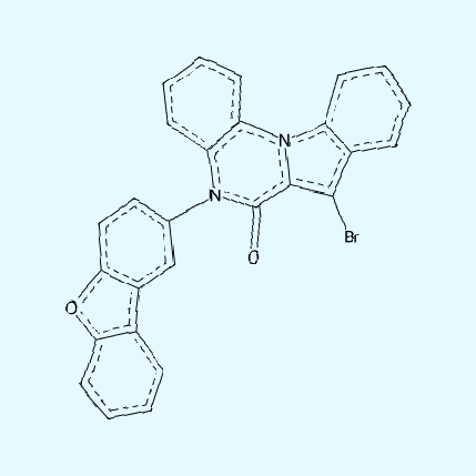 O=c1c2c(Br)c3ccccc3n2c2ccccc2n1-c1ccc2oc3ccccc3c2c1